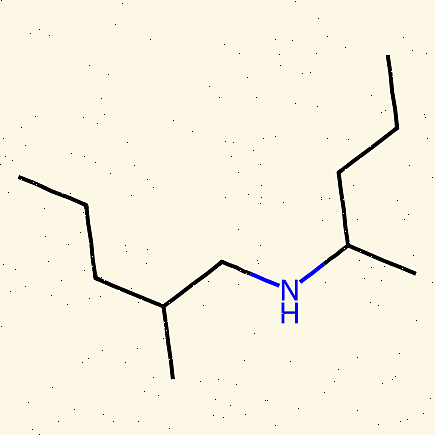 CCCC(C)CNC(C)CCC